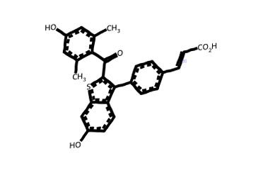 Cc1cc(O)cc(C)c1C(=O)c1sc2cc(O)ccc2c1-c1ccc(/C=C/C(=O)O)cc1